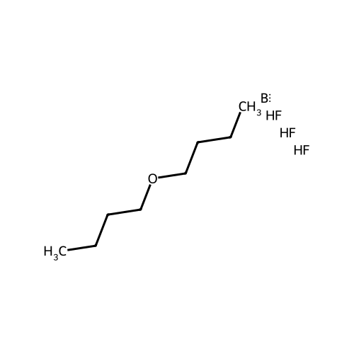 CCCCOCCCC.F.F.F.[B]